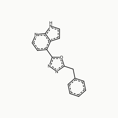 c1ccc(Cc2nnc(-c3ccnc4[nH]ccc34)o2)cc1